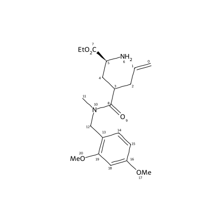 C=CCC(C[C@H](N)C(=O)OCC)C(=O)N(C)Cc1ccc(OC)cc1OC